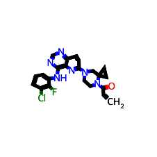 C=CC(=O)N1CCN(c2ccc3ncnc(Nc4cccc(Cl)c4F)c3n2)CC12CC2